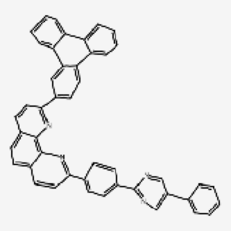 c1ccc(-c2cnc(-c3ccc(-c4ccc5ccc6ccc(-c7ccc8c9ccccc9c9ccccc9c8c7)nc6c5n4)cc3)nc2)cc1